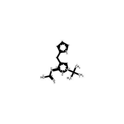 CC(C)(C)n1cc(Cc2cccs2)c(=NC(=O)O)s1